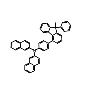 CC1(c2ccccc2)c2ccccc2-c2c(-c3ccc(N(c4ccc5ccccc5c4)c4ccc5ccccc5c4)cc3)cccc21